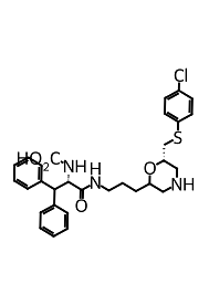 O=C(O)N[C@H](C(=O)NCCCC1CNC[C@@H](CSc2ccc(Cl)cc2)O1)C(c1ccccc1)c1ccccc1